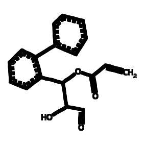 C=CC(=O)OC(c1ccccc1-c1ccccc1)C(O)C=O